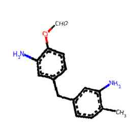 Cc1ccc(Cc2ccc(OC=O)c(N)c2)cc1N